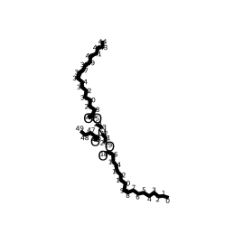 CCCCCCCC/C=C\CCCCCCCC(=O)OCCN(CCOC(=O)CCCCCCC/C=C\CCCCCCCC)C(=O)CCC